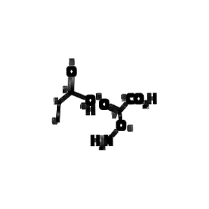 CCC(=O)O.NOC(=O)C(=O)O